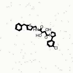 O=C(NCC1CC=C(Cc2ccccc2)S1)[C@H](O)[C@@H](O)C(=O)N1CCCC1c1cccc(Cl)c1